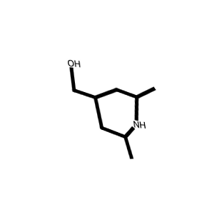 CC1CC(CO)CC(C)N1